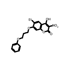 CCc1cc2c(O)c([N+](=O)[O-])c(=O)oc2cc1OCCCOc1ccccc1